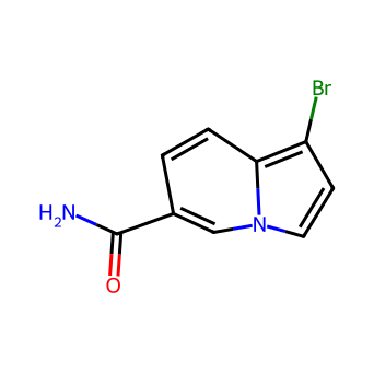 NC(=O)c1ccc2c(Br)ccn2c1